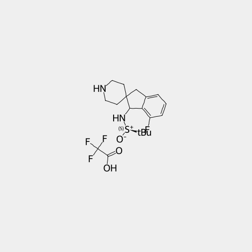 CC(C)(C)[S@@+]([O-])NC1c2c(F)cccc2CC12CCNCC2.O=C(O)C(F)(F)F